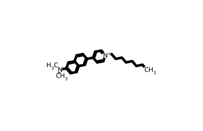 CCCCCCCC[n+]1ccc(-c2ccc3cc(N(C)C)ccc3c2)cc1